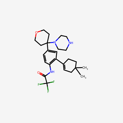 CC1(C)CC=C(c2cc(C3(N4CCNCC4)CCOCC3)ccc2NC(=O)C(F)(F)F)CC1